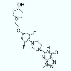 Cn1nnc2c(=O)[nH]c(N3CCN(c4c(F)cc(OCCN5CCC(O)CC5)cc4F)CC3)nc21